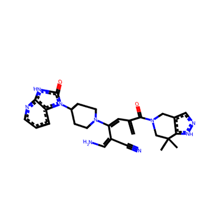 C=C(/C=C(\C(C#N)=C/N)N1CCC(n2c(=O)[nH]c3ncccc32)CC1)C(=O)N1Cc2cn[nH]c2C(C)(C)C1